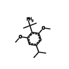 COc1cc(C(C)C)cc(OC)c1C(C)(C)P